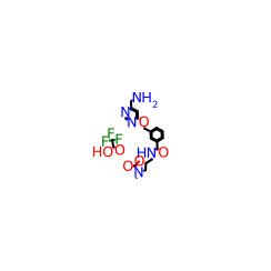 CN1CC(CNC(=O)c2cccc(COc3cc(CN)ncn3)c2)OC1=O.O=C(O)C(F)(F)F